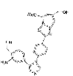 COc1cc(CO)cc2nc(-c3ccc(-n4cncc4-c4ccc(CO)c(N)c4)cc3)sc12